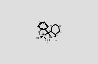 CCCC(c1ccccc1F)(C1CCCCC1F)P(=O)(O)O